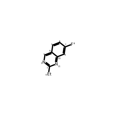 CCc1ncc2ccc(F)cc2n1